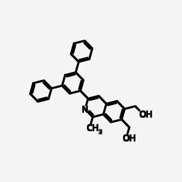 Cc1nc(-c2cc(-c3ccccc3)cc(-c3ccccc3)c2)cc2cc(CO)c(CO)cc12